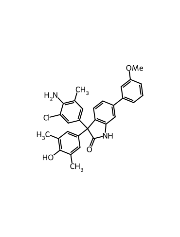 COc1cccc(-c2ccc3c(c2)NC(=O)C3(c2cc(C)c(O)c(C)c2)c2cc(C)c(N)c(Cl)c2)c1